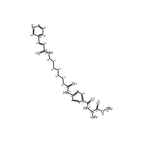 CCCN(NC(=O)c1ccc(NC(=O)CCCCCCCNC(=O)/C=C/c2cccnc2)cc1)C(=O)OC(C)(C)C